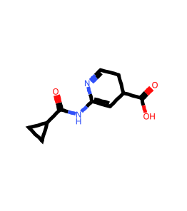 O=C(O)C1C=C(NC(=O)C2CC2)N=CC1